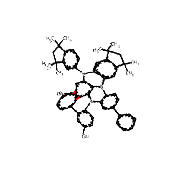 CC(C)(C)c1ccc(N2c3cc(-c4ccccc4)ccc3B3c4cc5c(cc4N(c4ccc6c(c4)C(C)(C)CC6(C)C)c4cc(C(C)(C)C)cc2c43)C(C)(C)CC5(C)C)c(-c2ccccc2)c1